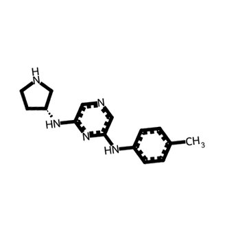 Cc1ccc(Nc2cncc(N[C@@H]3CCNC3)n2)cc1